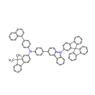 CC1(C)c2ccccc2-c2ccc(N(c3ccc(-c4ccc5c(c4)c4ccccc4n5-c4ccc5c(c4)C4(c6ccccc6-c6ccccc64)c4ccccc4-5)cc3)c3ccc(-c4cccc5ccccc45)cc3)cc21